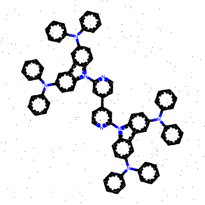 c1ccc(N(c2ccccc2)c2ccc3c(c2)c2cc(N(c4ccccc4)c4ccccc4)ccc2n3-c2cc(-c3ccnc(-n4c5ccc(N(c6ccccc6)c6ccccc6)cc5c5cc(N(c6ccccc6)c6ccccc6)ccc54)c3)ccn2)cc1